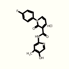 Cc1cc(NC(=O)c2cccn(-c3ccc(F)cc3)c2=O)ncc1O.Cl